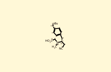 CCCCOc1ccc(C[C@@H](CC#N)N(C)CC(=O)O)cc1